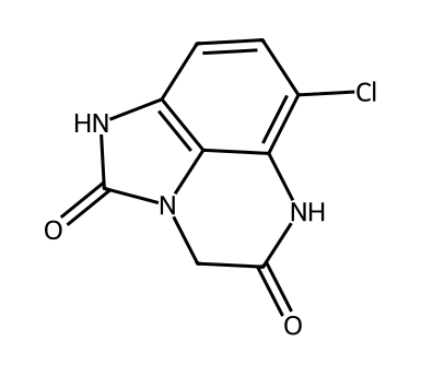 O=C1Cn2c(=O)[nH]c3ccc(Cl)c(c32)N1